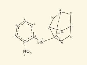 O=[N+]([O-])c1ccccc1NC1C2CC3CC(C2)CC1C3